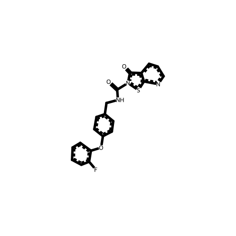 O=C(NCc1ccc(Oc2ccccc2F)cc1)n1sc2ncccc2c1=O